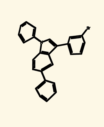 Brc1cccc(-c2cn(-c3ccccc3)c3ccc(-c4ccccc4)cc23)c1